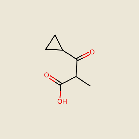 CC(C(=O)O)C(=O)C1CC1